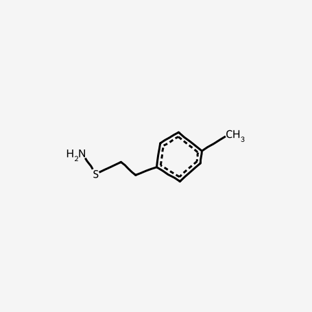 Cc1ccc(CCSN)cc1